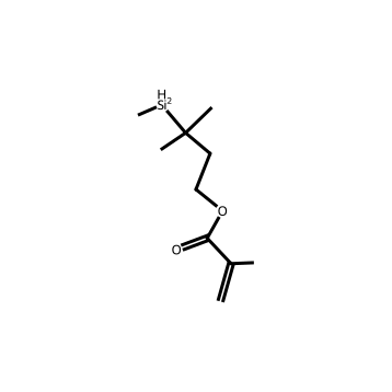 C=C(C)C(=O)OCCC(C)(C)[SiH2]C